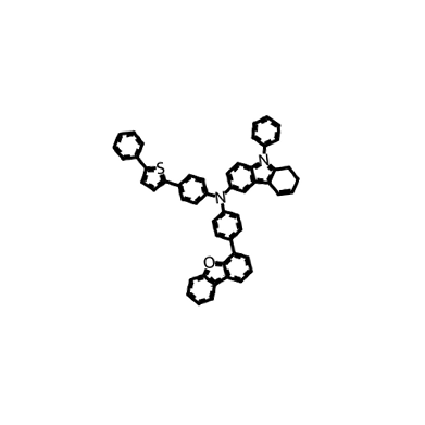 C1=Cc2c(n(-c3ccccc3)c3ccc(N(c4ccc(-c5ccc(-c6ccccc6)s5)cc4)c4ccc(-c5cccc6c5oc5ccccc56)cc4)cc23)CC1